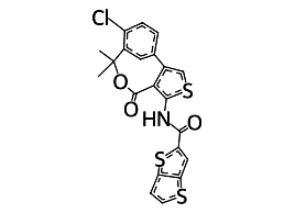 CC1(C)OC(=O)c2c(csc2NC(=O)c2cc3sccc3s2)-c2ccc(Cl)c1c2